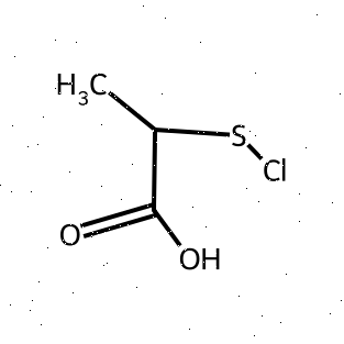 CC(SCl)C(=O)O